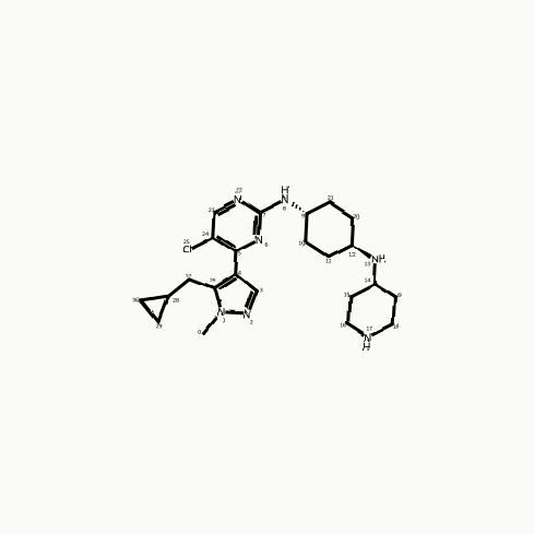 Cn1ncc(-c2nc(N[C@H]3CC[C@H](NC4CCNCC4)CC3)ncc2Cl)c1CC1CC1